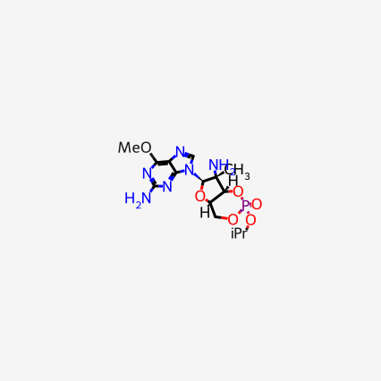 COc1nc(N)nc2c1ncn2[C@@H]1O[C@@H]2COP(=O)(OC(C)C)O[C@H]2[C@@]1(C)N